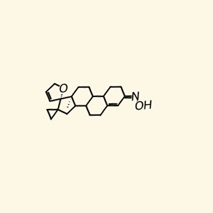 C[C@]12CCC3C4CCC(=NO)C=C4CCC3C1CC1(CC1)[C@@]21C=CCO1